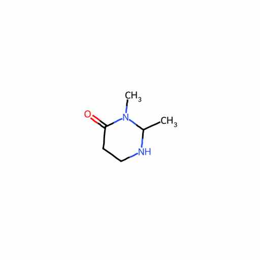 CC1NCCC(=O)N1C